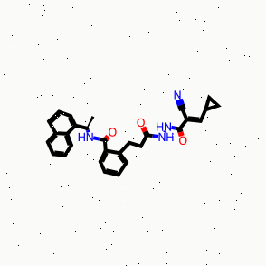 C[C@@H](NC(=O)c1ccccc1CCC(=O)NNC(=O)C(C#N)=CC1CC1)c1cccc2ccccc12